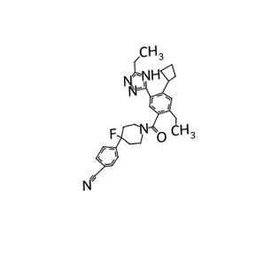 CCc1nnc(-c2cc(C(=O)N3CCC(F)(c4ccc(C#N)cc4)CC3)c(CC)cc2C2CCC2)[nH]1